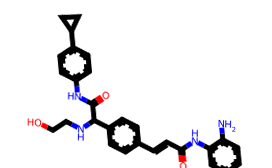 Nc1ccccc1NC(=O)C=Cc1ccc(C(NCCO)C(=O)Nc2ccc(C3CC3)cc2)cc1